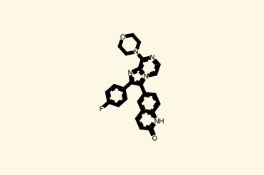 O=c1ccc2cc(-c3c(-c4ccc(F)cc4)nc4c(N5CCOCC5)nccn34)ccc2[nH]1